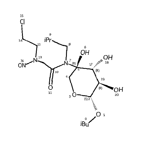 CCC(C)O[C@@H]1OC[C@](O)(N(CC(C)C)C(=O)N(CCCl)N=O)[C@H](O)[C@H]1O